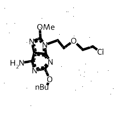 CCCCOc1nc(N)c2nc(OC)n(CCOCCCl)c2n1